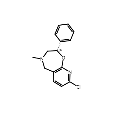 CN1Cc2ccc(Cl)nc2O[C@@H](c2ccccc2)C1